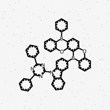 c1ccc(B2c3ccccc3Oc3c2ccc2c3B(c3ccc4c(c3)c3ccccc3n4-c3nc(-c4ccccc4)nc(-c4ccccc4)n3)c3ccccc3O2)cc1